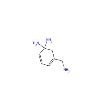 NCC1=CC=CC(N)(N)C1